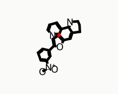 O=[N+]([O-])c1cccc(-c2ccc(/C=C3/CCCN=C3c3cccnc3)o2)c1